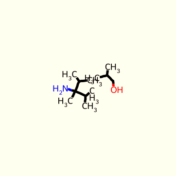 CC(C)C(C)(N)C(C)C.CC(C)CO